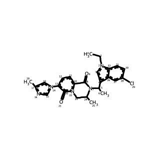 CCn1cc(C(C)N2C(=O)c3ccc(-n4cnc(C)c4)c(=O)n3CC2C)c2cc(Cl)ccc21